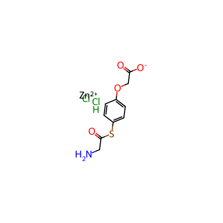 Cl.NCC(=O)Sc1ccc(OCC(=O)[O-])cc1.[Cl-].[Zn+2]